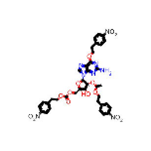 CC(OCCc1ccc([N+](=O)[O-])cc1)O[C@@H]1[C@H](O)[C@@H](COC(=O)OCCc2ccc([N+](=O)[O-])cc2)O[C@H]1n1cnc2c(OCCc3ccc([N+](=O)[O-])cc3)nc(N)nc21